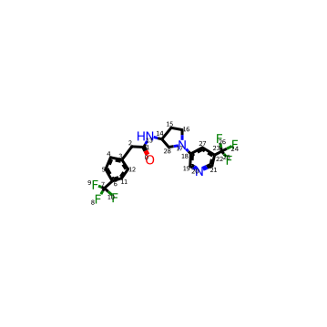 O=C(Cc1ccc(C(F)(F)F)cc1)NC1CCN(c2cncc(C(F)(F)F)c2)C1